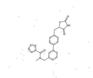 CN(Cc1cccc(-c2ccc(CC3SC(=O)NC3=O)cc2)c1)C(=O)c1cccs1